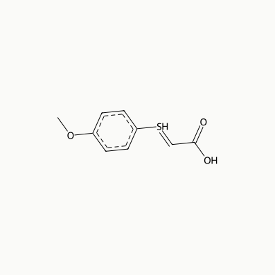 COc1ccc([SH]=CC(=O)O)cc1